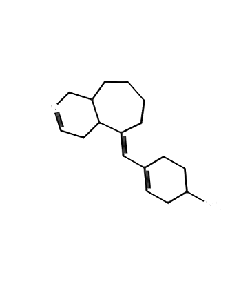 NC1CC=C(/C=C2\CCCCC3CN=CCC23)CC1